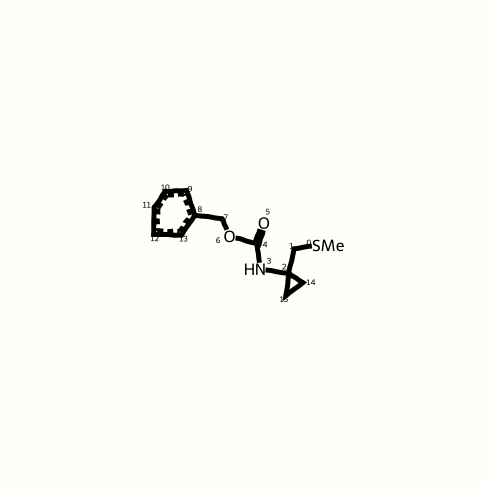 CSCC1(NC(=O)OCc2ccccc2)CC1